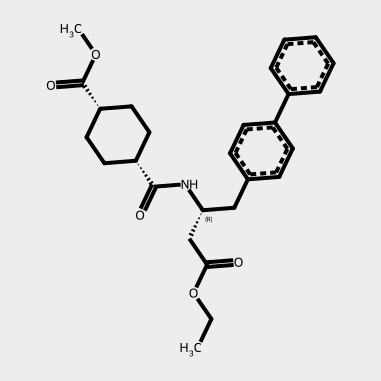 CCOC(=O)C[C@@H](Cc1ccc(-c2ccccc2)cc1)NC(=O)[C@H]1CC[C@@H](C(=O)OC)CC1